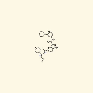 C=N/C=C(\C=C(/C)c1ccc2[nH]nc(C(=O)Nc3ccnc(N4CCCCC4)c3)c2c1)N1CCOCC1